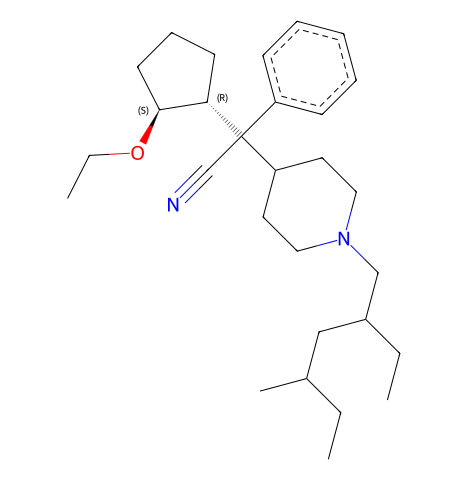 CCO[C@H]1CCC[C@@H]1C(C#N)(c1ccccc1)C1CCN(CC(CC)CC(C)CC)CC1